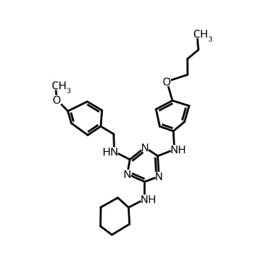 CCCCOc1ccc(Nc2nc(NCc3ccc(OC)cc3)nc(NC3CCCCC3)n2)cc1